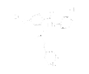 CCOc1ccc(C(=O)Nc2cccc(C(F)(F)F)c2)c(OC(=O)/C=C/c2ccnnc2)c1